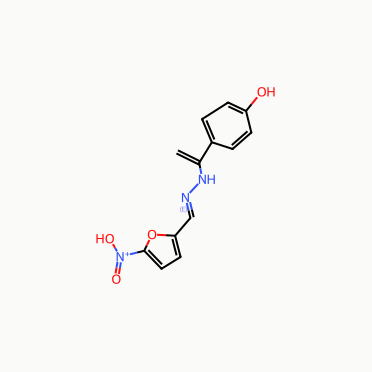 C=C(N/N=C/c1ccc([N+](=O)O)o1)c1ccc(O)cc1